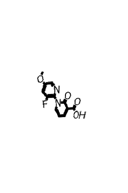 COc1cnc(-n2cccc(C(=O)O)c2=O)c(F)c1